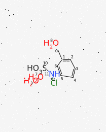 Cc1ccccc1.O.O.O.O=S(=O)(O)NCl